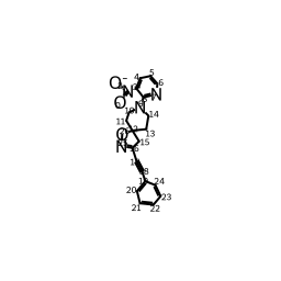 O=[N+]([O-])c1cccnc1N1CCC2(CC1)CC(C#Cc1ccccc1)=NO2